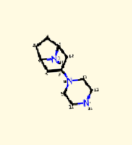 CN1C2CCC1CC(N1CC[N]CC1)C2